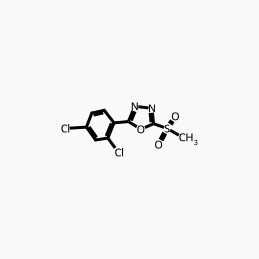 CS(=O)(=O)c1nnc(-c2ccc(Cl)cc2Cl)o1